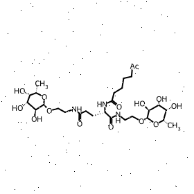 CC(=O)CCCCC(=O)N[C@@H](CCC(=O)NCCO[C@@H]1O[C@@H](C)[C@@H](O)[C@@H](O)[C@@H]1O)C(=O)NCCO[C@@H]1O[C@@H](C)[C@@H](O)[C@@H](O)[C@@H]1O